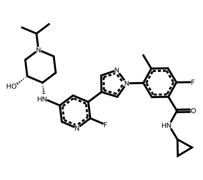 Cc1cc(F)c(C(=O)NC2CC2)cc1-n1cc(-c2cc(N[C@H]3CCN(C(C)C)C[C@H]3O)cnc2F)cn1